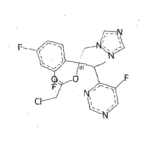 CC(c1ncncc1F)[C@@](Cn1cncn1)(OC(=O)CCl)c1ccc(F)cc1F